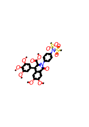 COC(=O)c1c(-c2cc(OC)c(OC)c(OC)c2)c2cc(OC)c(OC)cc2c(=O)n1-c1ccc(N(S(C)(=O)=O)S(C)(=O)=O)cc1